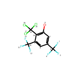 [O]c1cc(C(F)(F)F)cc(C(F)(F)F)c1C(Cl)(Cl)Cl